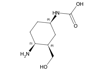 N[C@H]1CC[C@@H](NC(=O)O)C[C@H]1CO